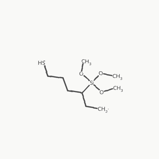 [CH2]CC(CCCS)[Si](OC)(OC)OC